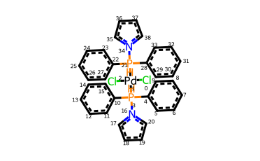 [Cl][Pd]([Cl])([PH](c1ccccc1)(c1ccccc1)n1cccc1)[PH](c1ccccc1)(c1ccccc1)n1cccc1